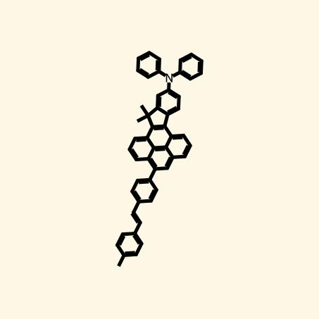 Cc1ccc(/C=C/c2ccc(-c3cc4cccc5c6c(c7cccc3c7c45)C(C)(C)c3cc(N(c4ccccc4)c4ccccc4)ccc3-6)cc2)cc1